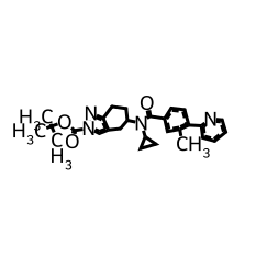 Cc1cc(C(=O)N(C2CC2)C2CCc3nn(C(=O)OC(C)(C)C)cc3C2)ccc1-c1ccccn1